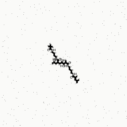 C/C(=C\C(C)C)C(=O)NCCCCNC(=O)C(C)C(O)C(O)CC(CC(C)O)C(=O)NCCCCNC(=O)C(C)(C)C